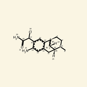 CN1CC[C@]23CCCC[C@H]2[C@H]1Cc1cc(N)c(C(Cl)C(N)=O)cc13